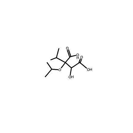 CC(C)OC(C(=O)O)(C(C)C)C(O)C(=O)O